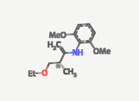 C=C(Nc1c(OC)cccc1OC)[C@H](C)COCC